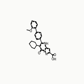 COc1ccccc1-c1ccc(-c2[nH]c3cc(C(=O)O)nn3c(=O)c2C2CCCCC2)cc1